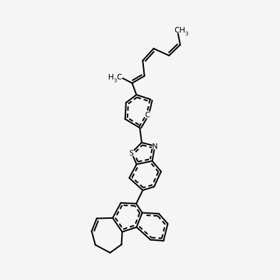 C\C=C/C=C\C=C(/C)c1ccc(-c2nc3ccc(-c4cc5c(c6ccccc46)CCCC=C5)cc3s2)cc1